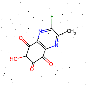 Cc1nc2c(nc1F)C(=O)C(O)C(=O)C2=O